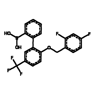 OB(O)c1ccccc1-c1cc(C(F)(F)F)ccc1OCc1ccc(F)cc1F